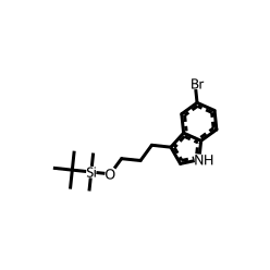 CC(C)(C)[Si](C)(C)OCCCc1c[nH]c2ccc(Br)cc12